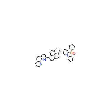 O=P(c1ccccc1)(c1ccccc1)c1ccc(-c2ccc3ccc4c(-c5ccc6ccc7cccnc7c6n5)ccc5ccc2c3c54)cn1